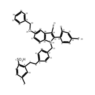 Cc1ccc(S(=O)(=O)O)c(CCc2ccc(Cn3c(-c4ccc(F)cc4C)c(F)c4cc(OCc5ccccc5)ccc43)cc2)c1